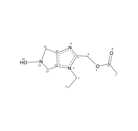 CCn1c(COC(C)=O)nc2c1CN(O)C2